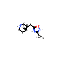 Cc1noc(CC2CN3CCC2CC3)n1